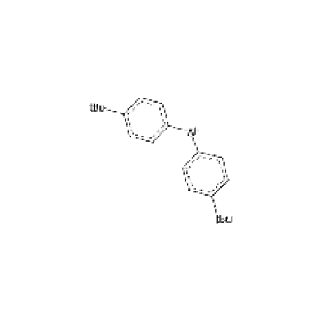 CC(C)(C)c1cc[c]([Al][c]2ccc(C(C)(C)C)cc2)cc1